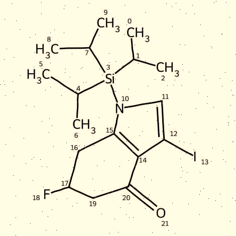 CC(C)[Si](C(C)C)(C(C)C)n1cc(I)c2c1CC(F)CC2=O